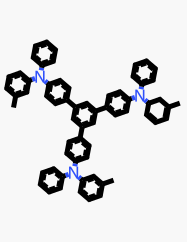 CC1=CC=CC(N(c2ccccc2)c2ccc(-c3cc(-c4ccc(N(c5ccccc5)c5cccc(C)c5)cc4)cc(-c4ccc(N(c5ccccc5)c5cccc(C)c5)cc4)c3)cc2)C1